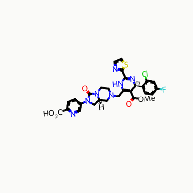 COC(=O)C1=C(CN2CCN3C(=O)N(c4ccc(C(=O)O)nc4)C[C@H]3C2)NC(c2nccs2)=N[C@H]1c1ccc(F)cc1Cl